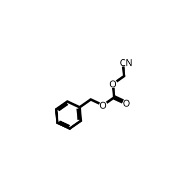 N#CCOC(=O)OCc1ccccc1